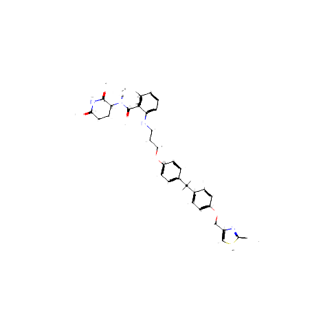 Cc1nc(COc2ccc(C(C)(C)c3ccc(OCCCNc4cccc(C=O)c4C(=O)N(C)C4CCC(=O)NC4=O)cc3)cc2)cs1